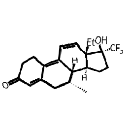 CC[C@]12C=CC3=C4CCC(=O)C=C4C[C@@H](C)[C@H]3[C@@H]1CC[C@@]2(O)C(F)(F)F